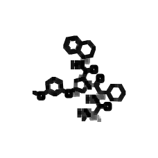 CN[C@@H](C)C(=O)N[C@H](C(=O)N1C[C@@H](Oc2cccc(OC)c2)C[C@H]1C(=O)N[C@H]1CCCc2ccccc21)C1CCCCC1